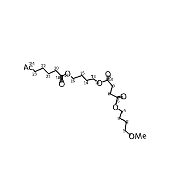 COCCCCOC(=O)CCC(=O)OCCCCOC(=O)CCCCC(C)=O